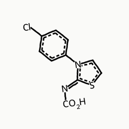 O=C(O)N=c1sccn1-c1ccc(Cl)cc1